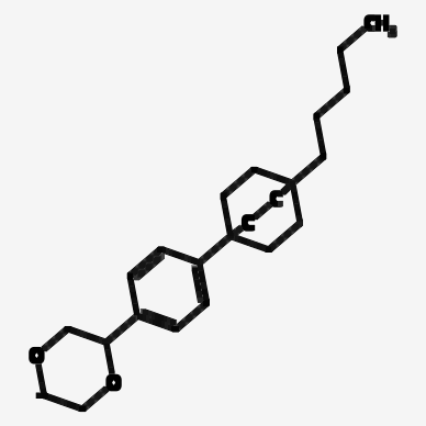 CCCCCC12CCC(c3ccc(C4CO[CH]CO4)cc3)(CC1)CC2